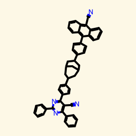 N#Cc1c(-c2ccccc2)nc(-c2ccccc2)nc1-c1ccc(C2CC3CC(C2)CC(c2ccc(-c4c5ccccc5c(C#N)c5ccccc45)cc2)C3)cc1